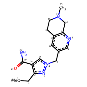 COCc1nn(Cc2cnc3c(c2)CCN(C)C3)cc1C(N)=O